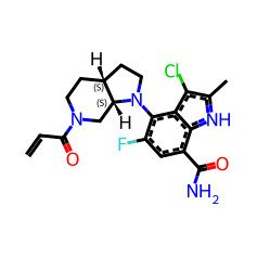 C=CC(=O)N1CC[C@@H]2CCN(c3c(F)cc(C(N)=O)c4[nH]c(C)c(Cl)c34)[C@@H]2C1